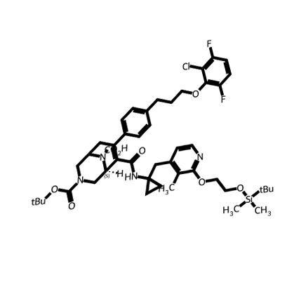 Cc1c(CC2(NC(=O)C3=C(c4ccc(CCCOc5c(F)ccc(F)c5Cl)cc4)CC4CN(C(=O)OC(C)(C)C)C[C@H]3N4C(=O)O)CC2)ccnc1OCCO[Si](C)(C)C(C)(C)C